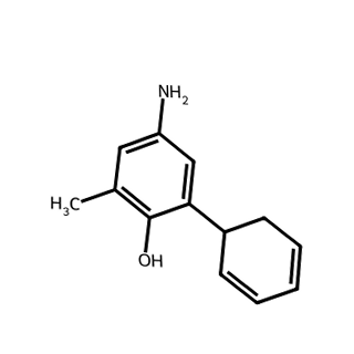 Cc1cc(N)cc(C2C=CC=CC2)c1O